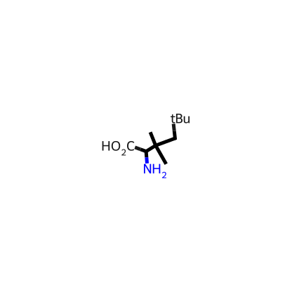 CC(C)(C)CC(C)(C)C(N)C(=O)O